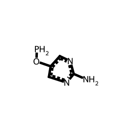 Nc1ncc(OP)cn1